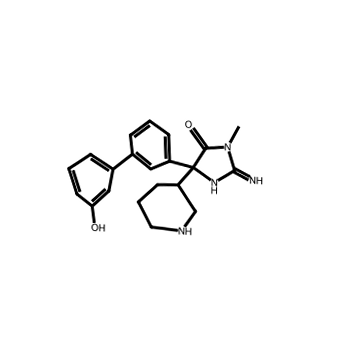 CN1C(=N)NC(c2cccc(-c3cccc(O)c3)c2)(C2CCCNC2)C1=O